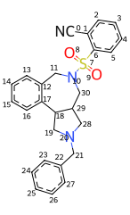 N#Cc1ccccc1S(=O)(=O)N1Cc2ccccc2C2CN(Cc3ccccc3)CC2C1